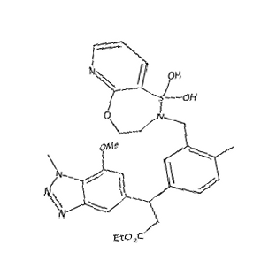 CCOC(=O)CC(c1ccc(C)c(CN2CCOc3ncccc3S2(O)O)c1)c1cc(OC)c2c(c1)nnn2C